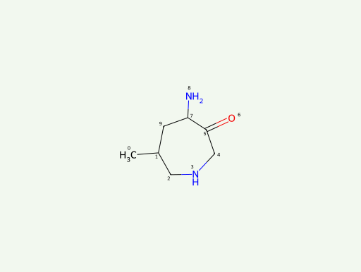 CC1CNCC(=O)C(N)C1